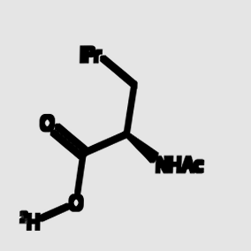 [2H]OC(=O)[C@@H](CC(C)C)NC(C)=O